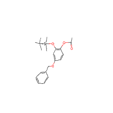 CC(=O)Oc1ccc(OCc2ccccc2)cc1O[Si](C)(C)C(C)(C)C